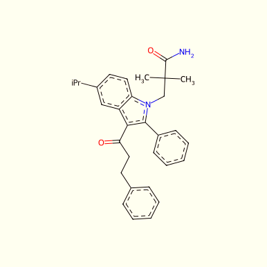 CC(C)c1ccc2c(c1)c(C(=O)CCc1ccccc1)c(-c1ccccc1)n2CC(C)(C)C(N)=O